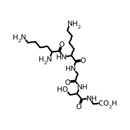 NCCCCC(N)C(=O)NC(CCCCN)C(=O)NCC(=O)NC(CO)C(=O)NCC(=O)O